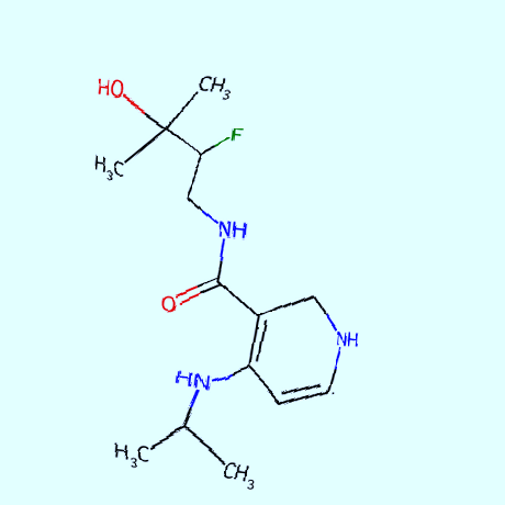 CC(C)NC1=C(C(=O)NCC(F)C(C)(C)O)CN[C]=C1